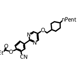 CCCCCC1CCC(COc2cnc(-c3ccc(OC(=O)CC)c(C#N)c3)nc2)CC1